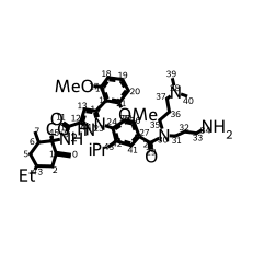 C=C1CC(CC)CC(C)C1(NC(=O)c1cc(-c2c(OC)cccc2OC)n(-c2ccc(C(=O)N(CCCN)CCCN(C)C)cc2C(C)C)n1)C(=O)O